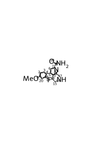 COc1ccc(-c2cc(C(N)=O)nc3c2CCNC3)c(F)c1